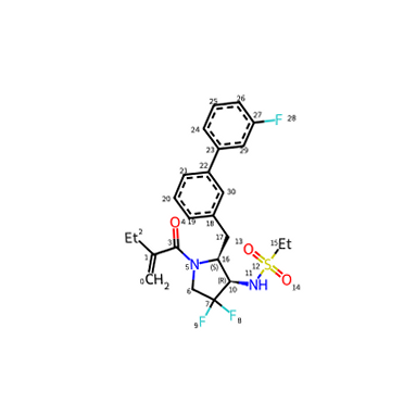 C=C(CC)C(=O)N1CC(F)(F)[C@H](NS(=O)(=O)CC)[C@@H]1Cc1cccc(-c2cccc(F)c2)c1